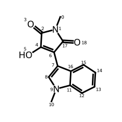 CN1C(=O)C(O)=C(c2cn(C)c3ccccc23)C1=O